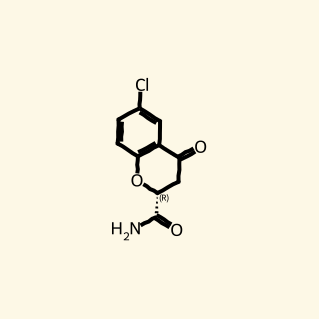 NC(=O)[C@H]1CC(=O)c2cc(Cl)ccc2O1